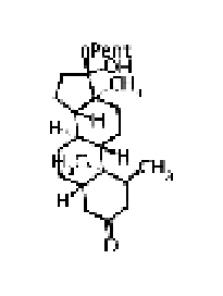 CCCCC[C@]1(O)CC[C@H]2[C@@H]3CC[C@H]4CC(=O)C[C@H](C)[C@]4(C)[C@H]3CC[C@@]21C